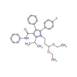 CCOC(CCn1c(-c2ccc(F)cc2)c(-c2ccccc2)c(C(=O)Nc2ccccc2)c1C(C)C)OCC